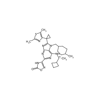 Cc1nc(C2(c3nc4nc(-c5noc(=O)[nH]5)nc(N[C@H](C)C5CCC5)c4n3CC3CCC(C)CC3)CC2)c(C)s1